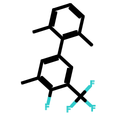 Cc1cc(-c2c(C)cccc2C)cc(C(F)(F)F)c1F